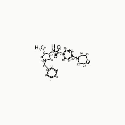 C[C@H]1CN(Cc2ccccc2)C[C@@H]1NS(=O)(=O)c1ccc(N2CCOCC2)nc1